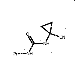 CC(C)NC(=O)NC1(C#N)CC1